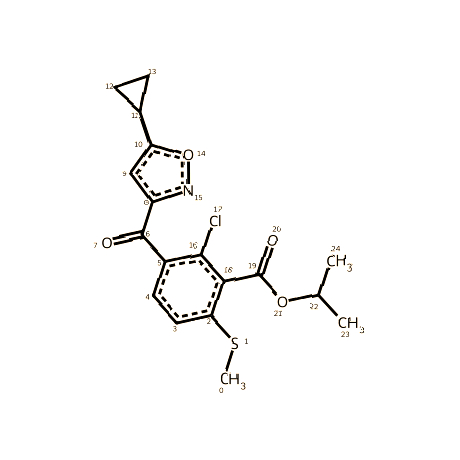 CSc1ccc(C(=O)c2cc(C3CC3)on2)c(Cl)c1C(=O)OC(C)C